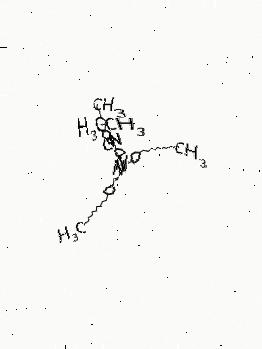 CCCCCCCCCCCCc1ccc(C=CC2=NN(c3ccc(-c4nc5cc(C(C)(C)CCCCC)ccc5o4)cc3)C(c3ccc(CCCCCCCCCCCC)cc3)C2)cc1